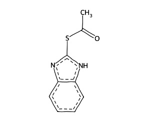 CC(=O)Sc1nc2ccccc2[nH]1